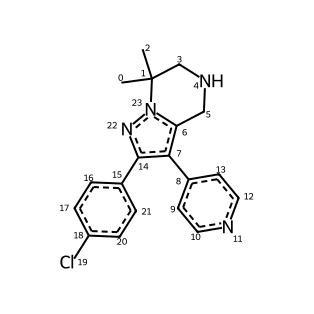 CC1(C)CNCc2c(-c3ccncc3)c(-c3ccc(Cl)cc3)nn21